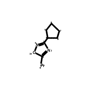 CC(C)c1nc(C2CCCC2)no1